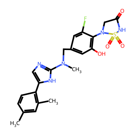 Cc1ccc(-c2cnc(N(C)Cc3cc(O)c(N4CC(=O)NS4(=O)=O)c(F)c3)[nH]2)c(C)c1